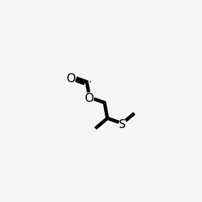 CSC(C)CO[C]=O